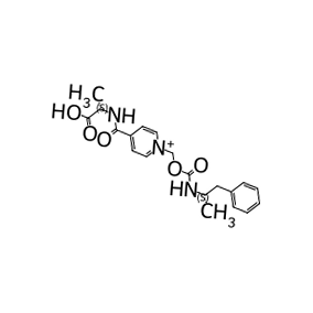 C[C@H](NC(=O)c1cc[n+](COC(=O)N[C@@H](C)Cc2ccccc2)cc1)C(=O)O